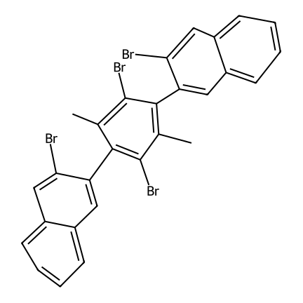 Cc1c(Br)c(-c2cc3ccccc3cc2Br)c(C)c(Br)c1-c1cc2ccccc2cc1Br